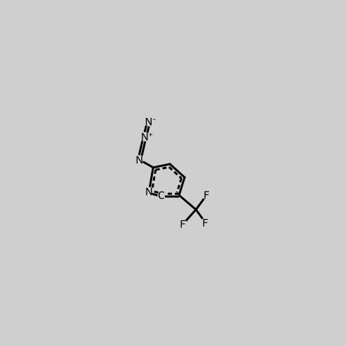 [N-]=[N+]=Nc1ccc(C(F)(F)F)cn1